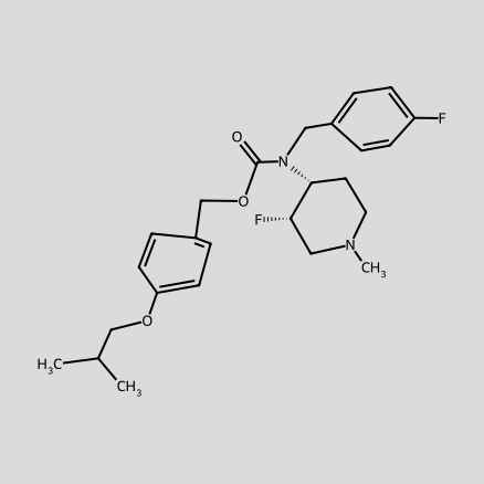 CC(C)COc1ccc(COC(=O)N(Cc2ccc(F)cc2)[C@@H]2CCN(C)C[C@@H]2F)cc1